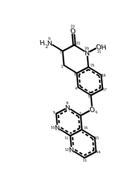 NC1Cc2cc(Oc3ncnc4ncccc34)ccc2N(O)C1=O